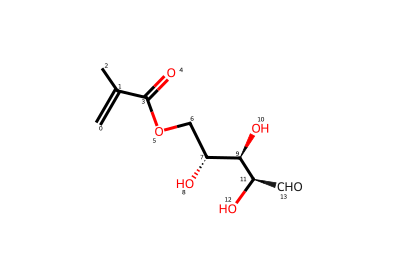 C=C(C)C(=O)OC[C@@H](O)[C@@H](O)[C@H](O)C=O